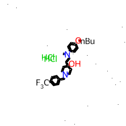 CCCCOc1ccc(N(C)CCC2(O)CCN(Cc3ccc(C(F)(F)F)cc3)CC2)cc1.Cl.Cl